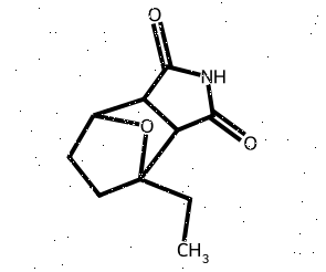 CCC12CCC(O1)C1C(=O)NC(=O)C12